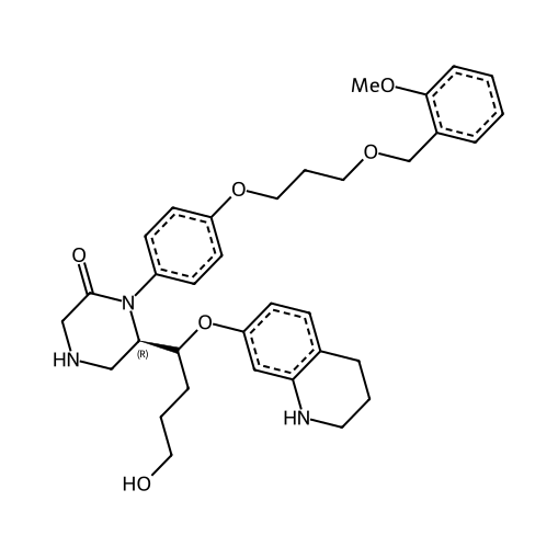 COc1ccccc1COCCCOc1ccc(N2C(=O)CNC[C@@H]2C(CCCO)Oc2ccc3c(c2)NCCC3)cc1